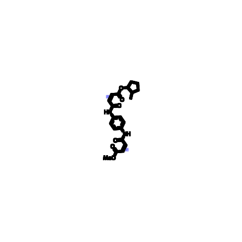 COC(=O)/C=C\C(=O)Nc1ccc(NC(=O)/C=C\C(=O)OC2CCCC2C)cc1